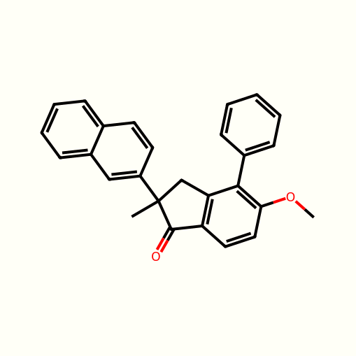 COc1ccc2c(c1-c1ccccc1)CC(C)(c1ccc3ccccc3c1)C2=O